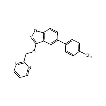 FC(F)(F)c1ccc(-c2ccc3onc(OCc4ncccn4)c3c2)cc1